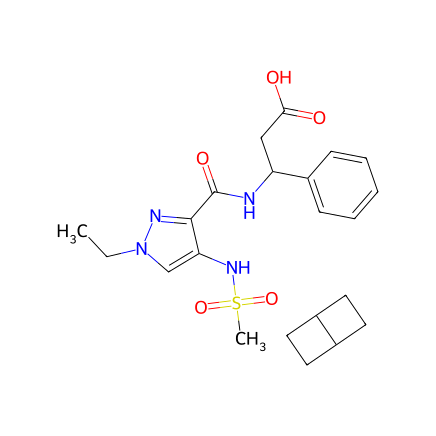 C1CC2CCC12.CCn1cc(NS(C)(=O)=O)c(C(=O)NC(CC(=O)O)c2ccccc2)n1